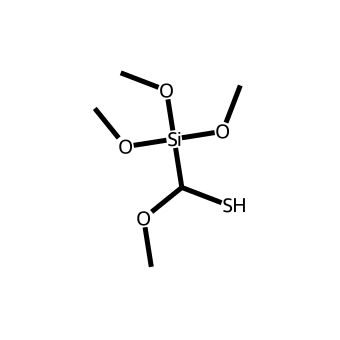 COC(S)[Si](OC)(OC)OC